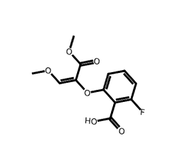 COC=C(Oc1cccc(F)c1C(=O)O)C(=O)OC